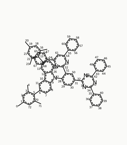 Cc1cc(C)c(-c2ccc3c(c2)c2cc(-c4c(C)cc(C)cc4C)ccc2n3-c2ccc(-c3nc(-c4ccccc4)nc(-c4ccccc4)n3)cc2-c2nc(-c3ccccc3)cc(-c3ccccc3)n2)c(C)c1